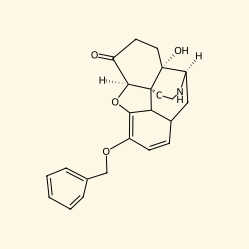 O=C1CC[C@@]2(O)[C@H]3CC4C=CC(OCc5ccccc5)=C5O[C@@H]1[C@]2(CCN3)C54